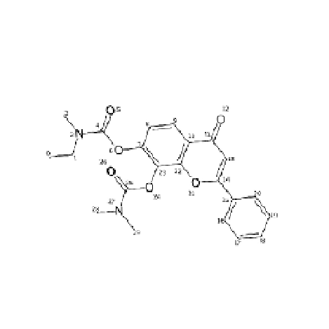 CCN(C)C(=O)Oc1ccc2c(=O)cc(-c3ccccc3)oc2c1OC(=O)N(C)C